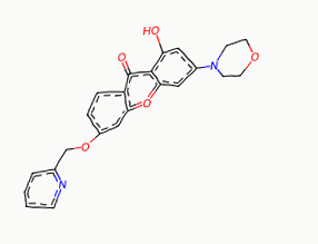 O=c1c2ccc(OCc3ccccn3)cc2oc2cc(N3CCOCC3)cc(O)c12